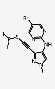 Cn1cc(Nc2ncc(Br)cn2)c(C#CSP(I)I)n1